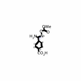 COC(=O)O/N=C(\N)c1ccc(C(=O)O)cc1